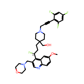 COc1ccc2ncc(CN3CCOCC3)c([C@@H](F)CCC3(CO)CCN(CC#Cc4c(F)cc(F)cc4F)CC3)c2c1